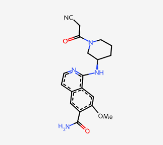 COc1cc2c(N[C@@H]3CCCN(C(=O)CC#N)C3)nccc2cc1C(N)=O